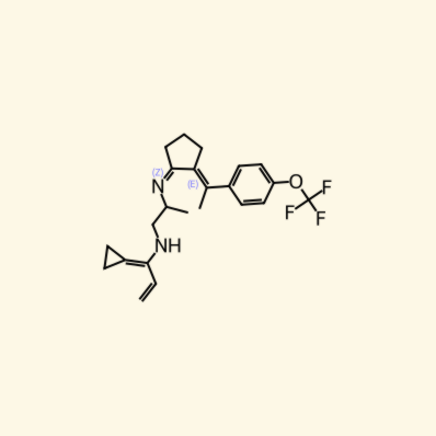 C=CC(NCC(C)/N=C1/CCC/C1=C(/C)c1ccc(OC(F)(F)F)cc1)=C1CC1